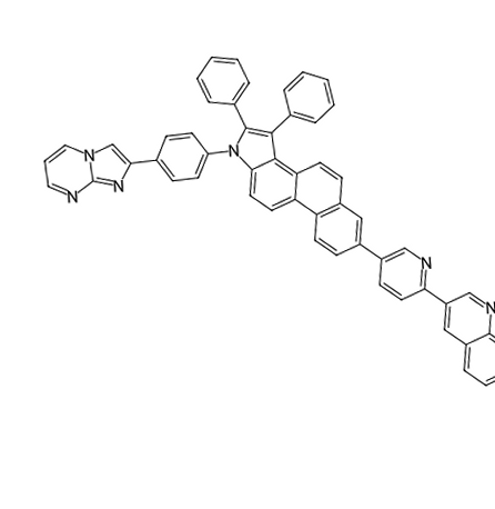 c1ccc(-c2c(-c3ccccc3)n(-c3ccc(-c4cn5cccnc5n4)cc3)c3ccc4c5ccc(-c6ccc(-c7cnc8ccccc8c7)nc6)cc5ccc4c23)cc1